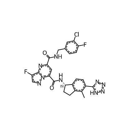 Cc1c(-c2nnn[nH]2)ccc2c1CC[C@@H]2NC(=O)c1cc(C(=O)NCc2ccc(F)c(Cl)c2)nc2c(F)cnn12